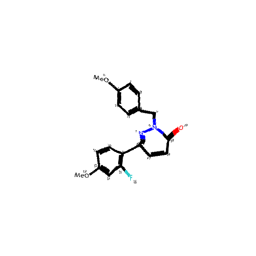 COc1ccc(Cn2nc(-c3ccc(OC)cc3F)ccc2=O)cc1